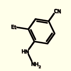 CCc1cc(C#N)ccc1NN